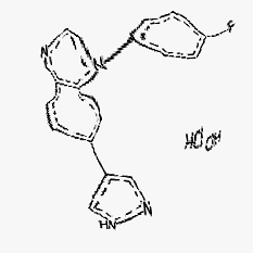 Cl.Cl.Fc1ccc(-n2cnc3ccc(-c4cn[nH]c4)cc32)cc1